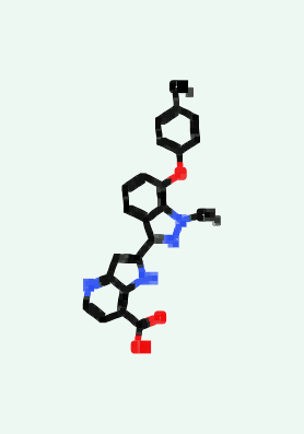 Cc1ccc(Oc2cccc3c(-c4cc5nccc(C(=O)O)c5[nH]4)nn(C)c23)cc1